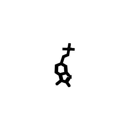 CC1=NC2=CC(CC[N+](C)(C)C)C=CC2=C1C